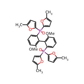 COc1cccc(P(=O)(c2ccc(C)o2)c2ccc(C)o2)c1-c1c(OC)cccc1P(=O)(c1ccc(C)o1)c1ccc(C)o1